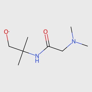 CN(C)CC(=O)NC(C)(C)C[O]